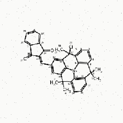 CC1(C)c2cccc3c2N2c4c1cccc4C(C)(C)c1cc(C=C4C(=O)c5ccccc5C4=O)cc(c12)C3(C)C